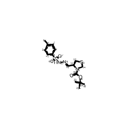 Cc1ccc(S(=O)(=O)NN=CC2CSCN2C(=O)OC(C)(C)C)cc1